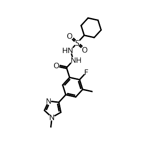 Cc1cc(-c2cn(C)cn2)cc(C(=O)NNS(=O)(=O)C2CCCCC2)c1F